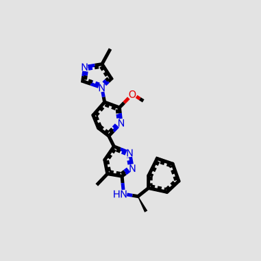 COc1nc(-c2cc(C)c(N[C@H](C)c3ccccc3)nn2)ccc1-n1cnc(C)c1